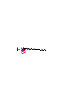 CCCCCCCCCCCCCCCCc1c[nH]c(=O)o1